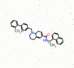 C[C@H](NC(=O)C1=CCC2C(=C1)CCCN2Cc1ccc(-c2ccccc2C(=O)O)cc1)c1cccc2ccccc12